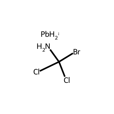 NC(Cl)(Cl)Br.[PbH2]